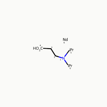 CC(C)N(CCC(=O)O)C(C)C.[Nd]